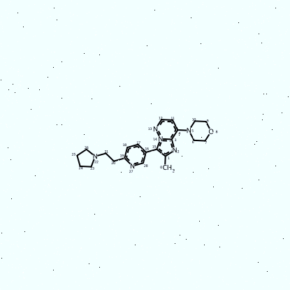 Cc1nc2c(N3CCOCC3)ccnn2c1-c1ccc(CCN2CCCC2)nc1